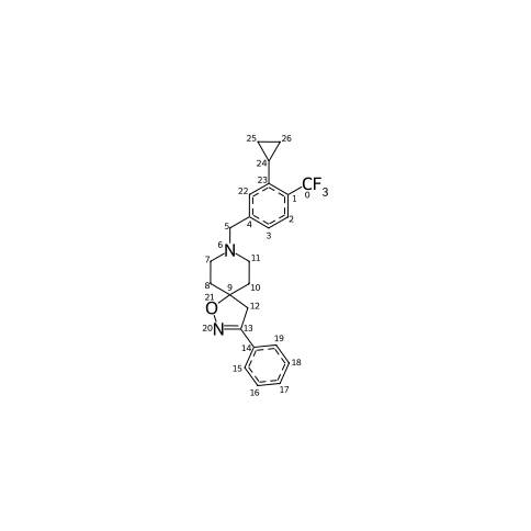 FC(F)(F)c1ccc(CN2CCC3(CC2)CC(c2ccccc2)=NO3)cc1C1CC1